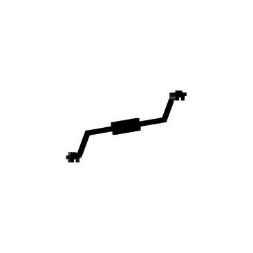 CCCCC#CC[C](C)C